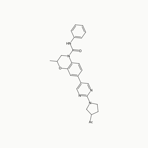 CC(=O)C1CCN(c2ncc(-c3ccc4c(c3)OC(C)CN4C(=O)Nc3ccccc3)cn2)C1